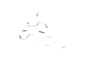 CC=Cc1ccc(C2CCC[C@@H](CC(C)C)C2)cc1C(=O)c1ccccc1CC